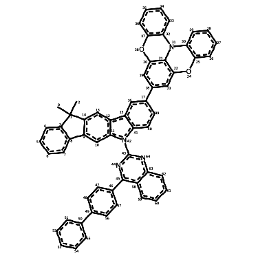 CC1(C)c2ccccc2-c2cc3c(cc21)c1cc(-c2cc4c5c(c2)Oc2ccccc2N5c2ccccc2O4)ccc1n3-c1nc(-c2ccc(-c3ccccc3)cc2)c2ccccc2n1